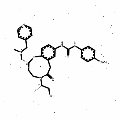 COc1ccc(NC(=O)Nc2ccc3c(c2)CC(=O)N([C@@H](C)CO)CC[C@H](CN(C)Cc2ccncc2)O3)cc1